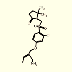 CC1(C)CCC(=O)N1CS(=O)(=O)c1ccc(OC/C(=C/F)CN)cc1Cl